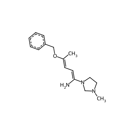 C/C(=C\C=C(/N)N1CCN(C)C1)OCc1ccccc1